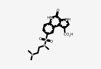 CN(C)CCN(C)S(=O)(=O)c1ccc2[nH]c(=O)c3[nH]cc(C(=O)O)c3c2c1